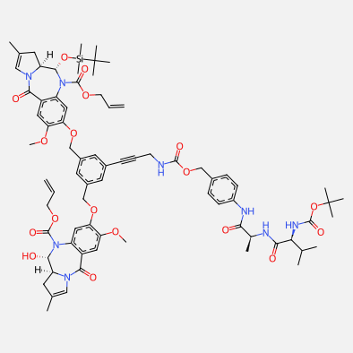 C=CCOC(=O)N1c2cc(OCc3cc(C#CCNC(=O)OCc4ccc(NC(=O)[C@H](C)NC(=O)[C@@H](NC(=O)OC(C)(C)C)C(C)C)cc4)cc(COc4cc5c(cc4OC)C(=O)N4C=C(C)C[C@H]4[C@H](O[Si](C)(C)C(C)(C)C)N5C(=O)OCC=C)c3)c(OC)cc2C(=O)N2C=C(C)C[C@H]2[C@@H]1O